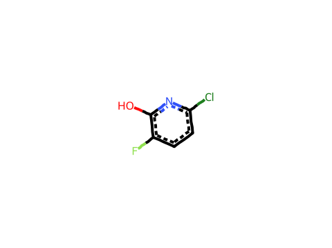 Oc1nc(Cl)ccc1F